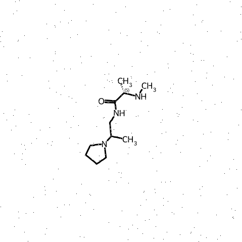 CN[C@@H](C)C(=O)NCC(C)N1CCCC1